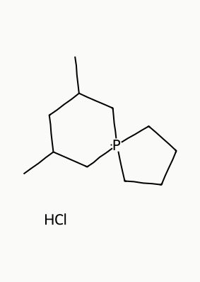 CC1CC(C)C[P]2(CCCC2)C1.Cl